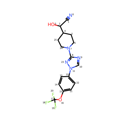 N#CC(O)C1CCN(c2ncn(-c3ccc(OC(F)(F)F)cc3)n2)CC1